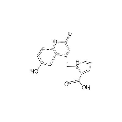 O=C(O)C1=CC=C[SH]1Cc1cc(=O)oc2ccc(O)cc12